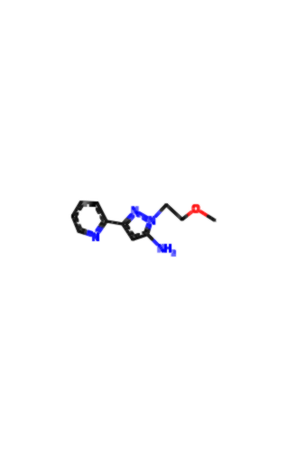 COCCn1nc(-c2ccccn2)cc1N